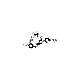 CCOc1cc(CN2CC3(CC(=O)N(c4ccc(C(=O)O)cc4)C3)C2)ccc1C.O=C(O)C(F)(F)F